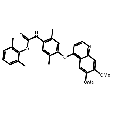 COc1cc2nccc(Oc3cc(C)c(NC(=O)Oc4c(C)cccc4C)cc3C)c2cc1OC